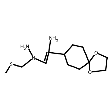 N/C(=C\N(N)CSI)C1CCC2(CC1)OCCO2